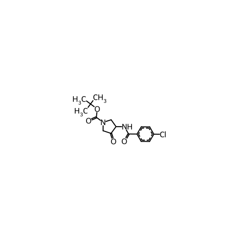 CC(C)(C)OC(=O)N1CC(=O)C(NC(=O)c2ccc(Cl)cc2)C1